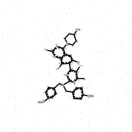 COc1ccc(CN(Cc2ccc(OC)cc2)c2nc(C)c(I)c(-c3c(Cl)cc4c(N5CCC(C#N)CC5)nc(F)nc4c3F)n2)cc1